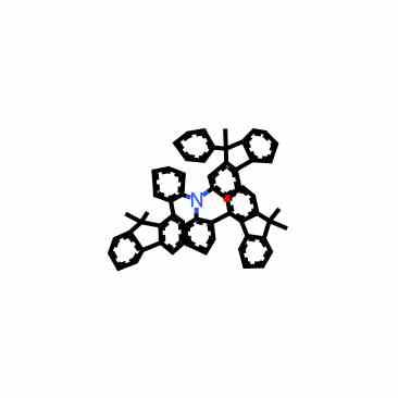 CC1(C)c2ccccc2-c2c(-c3ccccc3N(c3ccc4c(c3)C(C)(c3ccccc3)c3ccccc3-4)c3ccccc3-c3cccc4c3C(C)(C)c3ccccc3-4)cccc21